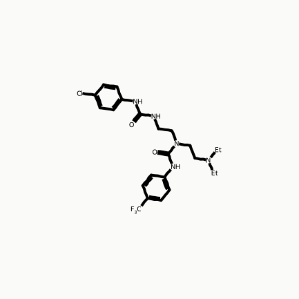 CCN(CC)CCN(CCNC(=O)Nc1ccc(Cl)cc1)C(=O)Nc1ccc(C(F)(F)F)cc1